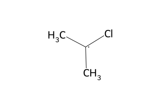 C[C](C)Cl